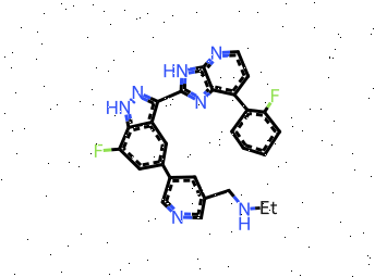 CCNCc1cncc(-c2cc(F)c3[nH]nc(-c4nc5c(-c6ccccc6F)ccnc5[nH]4)c3c2)c1